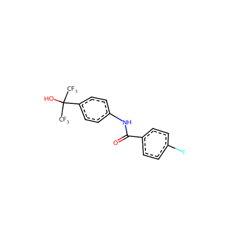 O=C(Nc1ccc(C(O)(C(F)(F)F)C(F)(F)F)cc1)c1ccc(F)cc1